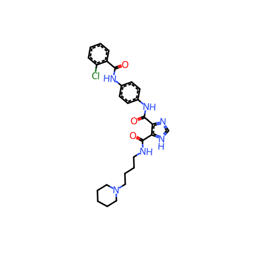 O=C(Nc1ccc(NC(=O)c2nc[nH]c2C(=O)NCCCCN2CCCCC2)cc1)c1ccccc1Cl